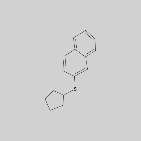 c1ccc2cc(SC3CCCC3)ccc2c1